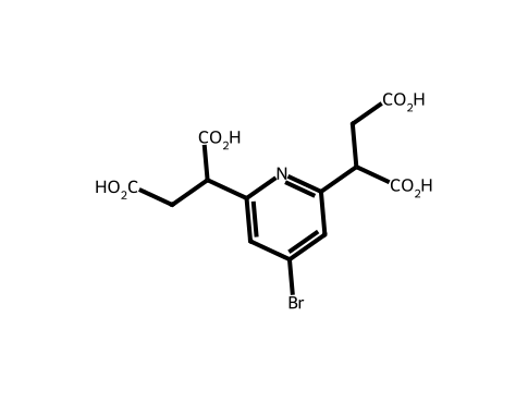 O=C(O)CC(C(=O)O)c1cc(Br)cc(C(CC(=O)O)C(=O)O)n1